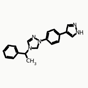 CC(c1ccccc1)N1C=NN(c2ccc(-c3cn[nH]c3)cc2)C1